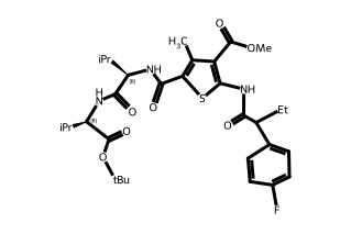 CCC(C(=O)Nc1sc(C(=O)N[C@@H](C(=O)N[C@@H](C(=O)OC(C)(C)C)C(C)C)C(C)C)c(C)c1C(=O)OC)c1ccc(F)cc1